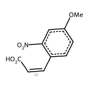 COc1ccc(/C=C\C(=O)O)c([N+](=O)[O-])c1